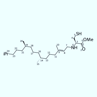 COC(=O)[C@H](CS)NC/C=C(\C)CCC[C@H](C)CCC[C@H](C)CCCC(C)C